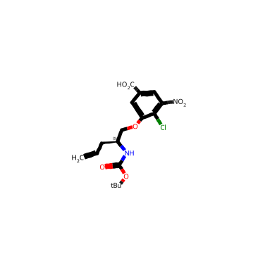 C=CC[C@@H](COc1cc(C(=O)O)cc([N+](=O)[O-])c1Cl)NC(=O)OC(C)(C)C